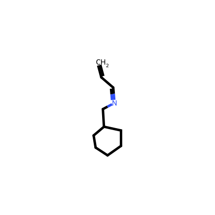 C=C/C=N\CC1CCCCC1